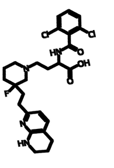 O=C(NC(CCN1CCCC(F)(CCc2ccc3c(n2)NCCC3)C1)C(=O)O)c1c(Cl)cccc1Cl